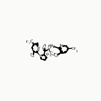 CN(Nc1ncc(C(F)(F)F)cc1Cl)C(=O)c1cccn1-c1ncc(C(F)(F)F)cc1Cl